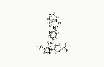 Cc1nnn(-c2ccc(C(F)F)cc2)c1COc1ccc(N2CCN3CCOC[C@@H]3C2)nn1